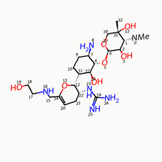 CN[C@@H]1[C@@H](O)[C@@H](O[C@H]2[C@H](N)CCC([C@H]3OC(CNCCO)=CC[C@H]3NC(=N)N)[C@@H]2O)OC[C@]1(C)O